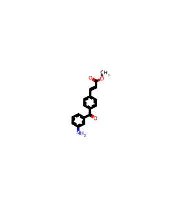 COC(=O)/C=C/c1ccc(C(=O)c2cccc(N)c2)cc1